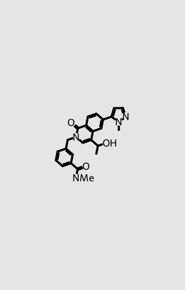 CNC(=O)c1cccc(Cn2cc(C(C)O)c3cc(-c4ccnn4C)ccc3c2=O)c1